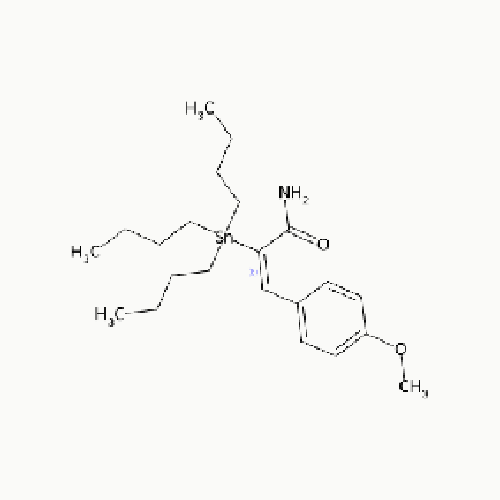 CCC[CH2][Sn]([CH2]CCC)([CH2]CCC)/[C](=C/c1ccc(OC)cc1)C(N)=O